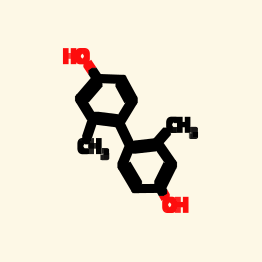 Cc1cc(O)ccc1-c1ccc(O)cc1C